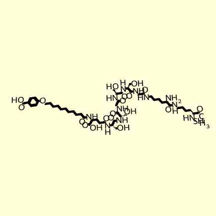 CC(=O)[C@H](CCCCNC(=O)C(N)CCCCNC(=O)CNC(=O)[C@H](CO)NC(=O)[C@H](CO)NC(=O)CNC(=O)[C@H](CO)NC(=O)[C@H](CO)NC(=O)CCC(NC(=O)CCCCCCCCCCOc1ccc(C(=O)O)cc1)C(=O)O)NS